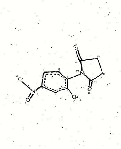 Cc1cc([N+](=O)[O-])ccc1N1C(=O)CCC1=O